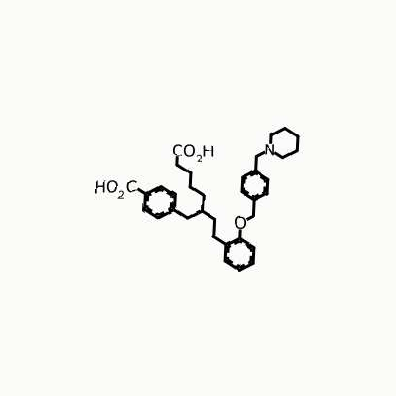 O=C(O)CCCCC(CCc1ccccc1OCc1ccc(CN2CCCCC2)cc1)Cc1ccc(C(=O)O)cc1